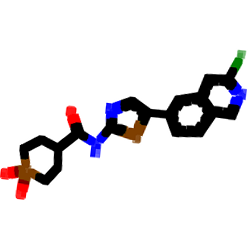 O=C(Nc1ncc(-c2ccc3cnc(F)cc3c2)s1)C1CCS(=O)(=O)CC1